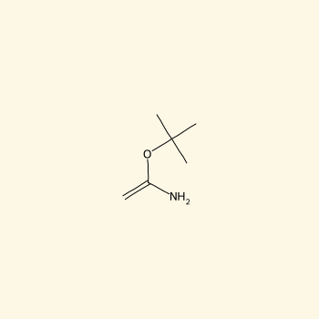 C=C(N)OC(C)(C)C